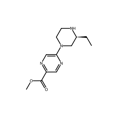 CC[C@H]1CN(c2cnc(C(=O)OC)cn2)CCN1